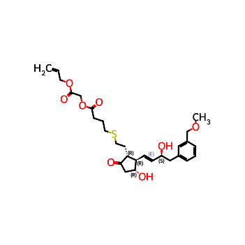 C=CCOC(=O)COC(=O)CCCSCC[C@H]1C(=O)C[C@@H](O)[C@@H]1/C=C/[C@@H](O)Cc1cccc(COC)c1